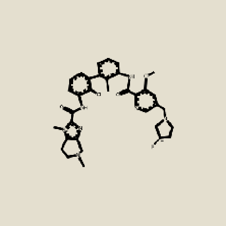 COc1cc(CN2CC[C@@H](F)C2)cnc1C(=O)Nc1cccc(-c2cccc(NC(=O)c3nc4c(n3C)CCN(C)C4)c2Cl)c1C